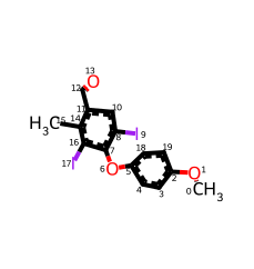 COc1ccc(Oc2c(I)cc(C=O)c(C)c2I)cc1